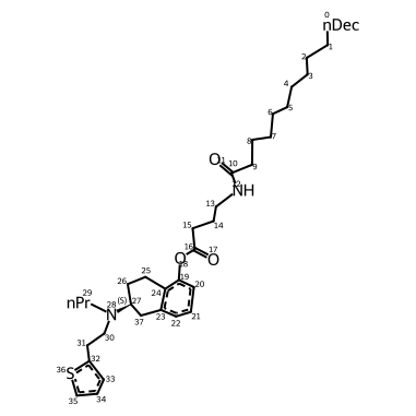 CCCCCCCCCCCCCCCCCCCC(=O)NCCCC(=O)Oc1cccc2c1CC[C@H](N(CCC)CCc1cccs1)C2